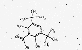 Cc1c(C(C)(C)C)cc(C(C)(C)C)c(O)c1C(=O)O